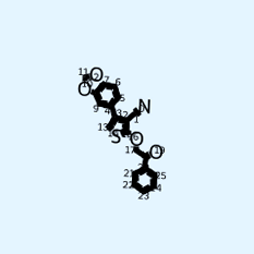 N#Cc1c(-c2ccc3c(c2)OCO3)csc1OCC(=O)c1ccccc1